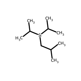 CC(C)C[Si](C(C)C)C(C)C